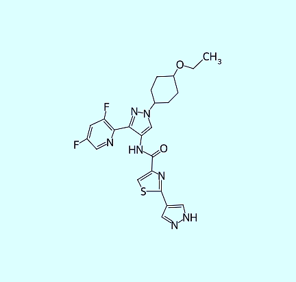 CCOC1CCC(n2cc(NC(=O)c3csc(-c4cn[nH]c4)n3)c(-c3ncc(F)cc3F)n2)CC1